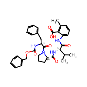 Cc1cccc(NC(=O)[C@@H](NC(=O)[C@@H]2CCCN2C(=O)[C@H](Cc2ccccc2)NC(=O)OCc2ccccc2)C(C)C)c1C(=O)O